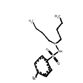 CCCCP(CCCC)NS(=O)(=O)c1ccc(Br)cc1